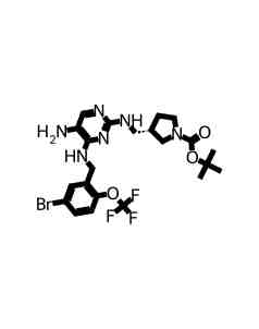 CC(C)(C)OC(=O)N1CC[C@@H](CNc2ncc(N)c(NCc3cc(Br)ccc3OC(F)(F)F)n2)C1